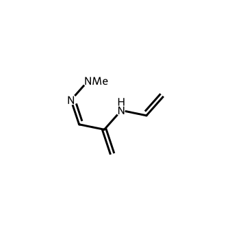 C=CNC(=C)/C=N\NC